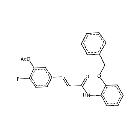 CC(=O)Oc1cc(C=CC(=O)Nc2ccccc2OCc2ccccc2)ccc1F